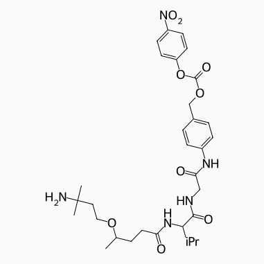 CC(CCC(=O)NC(C(=O)NCC(=O)Nc1ccc(COC(=O)Oc2ccc([N+](=O)[O-])cc2)cc1)C(C)C)OCCC(C)(C)N